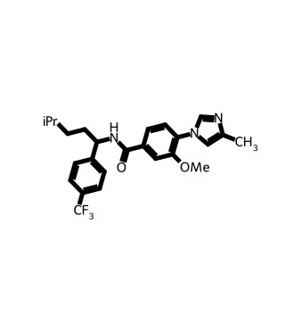 COc1cc(C(=O)NC(CCC(C)C)c2ccc(C(F)(F)F)cc2)ccc1-n1cnc(C)c1